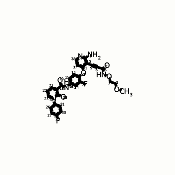 COCCONC(=O)C#Cc1c(Oc2ccc(NC(=O)c3cccn(-c4ccc(F)cc4)c3=O)cc2F)ccnc1N